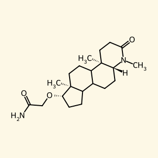 CN1C(=O)CC[C@]2(C)C3CC[C@@]4(C)C(CC[C@@H]4OCC(N)=O)C3CC[C@@H]12